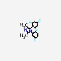 Cc1nc(C)n(-c2cccc(F)c2)c1-c1c(F)cc(F)cc1F